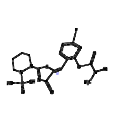 CCN(C)C(=O)Oc1cc(F)ccc1/C=C1\SC(N2CCCCN2P(=O)(O)O)=NC1=O